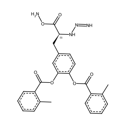 Cc1ccccc1C(=O)Oc1ccc(C[C@H](NN=N)C(=O)ON)cc1OC(=O)c1ccccc1C